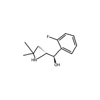 CC1(C)C[C@H]([C@H](O)c2ccccc2F)N1